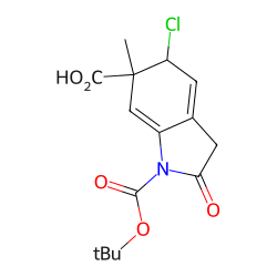 CC(C)(C)OC(=O)N1C(=O)CC2=CC(Cl)C(C)(C(=O)O)C=C21